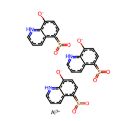 O=S(=O)=c1ccc([O-])c2[nH]cccc1-2.O=S(=O)=c1ccc([O-])c2[nH]cccc1-2.O=S(=O)=c1ccc([O-])c2[nH]cccc1-2.[Al+3]